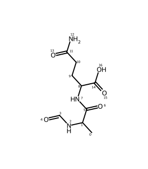 CC(NC=O)C(=O)NC(CCC(N)=O)C(=O)O